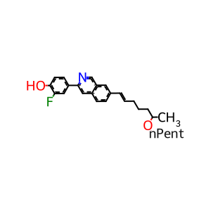 CCCCCOC(C)CCC/C=C/c1ccc2cc(-c3ccc(O)c(F)c3)ncc2c1